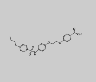 CCCCc1ccc(S(=O)(=O)Nc2ccc(OCCOc3ccc(C(=O)O)cc3)cc2)cc1